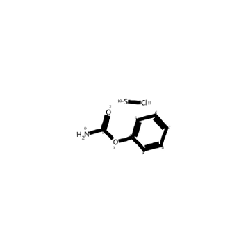 NC(=O)Oc1ccccc1.[S]Cl